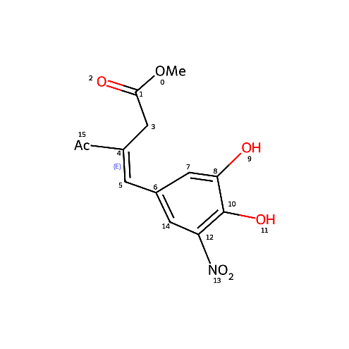 COC(=O)C/C(=C\c1cc(O)c(O)c([N+](=O)[O-])c1)C(C)=O